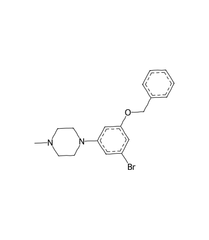 CN1CCN(c2cc(Br)cc(OCc3ccccc3)c2)CC1